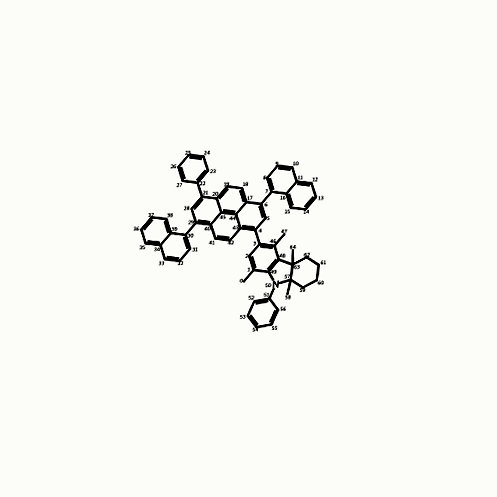 Cc1cc(-c2cc(-c3cccc4ccccc34)c3ccc4c(-c5ccccc5)cc(-c5cccc6ccccc56)c5ccc2c3c45)c(C)c2c1N(c1ccccc1)C1(C)CCCCC21C